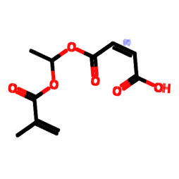 C=C(C)C(=O)OC(C)OC(=O)/C=C\C(=O)O